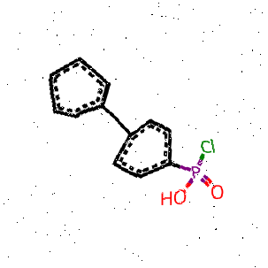 O=P(O)(Cl)c1ccc(-c2ccccc2)cc1